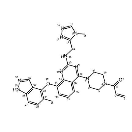 C=CC(=O)N1CCN(c2nc(NCc3nncn3C)nc3c(Oc4c(C)ccc5[nH]ncc45)cccc23)CC1